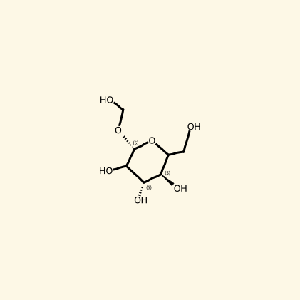 OCO[C@@H]1OC(CO)[C@@H](O)[C@H](O)C1O